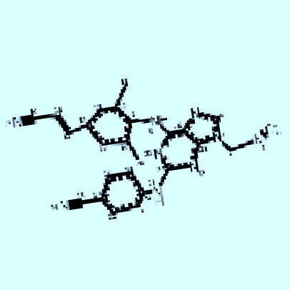 [C-]#[N+]Cn1cnc2c(Nc3c(C)cc(/C=C/C#N)cc3C)nc(Nc3ccc(C#N)cc3)nc21